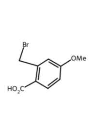 COc1ccc(C(=O)O)c(CBr)c1